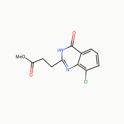 COC(=O)CCc1nc2c(Cl)cccc2c(=O)[nH]1